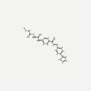 CCOC(=O)CNC(=O)Nc1ccc(C(=O)/C=C/c2ccc(-c3cccs3)cc2)cc1